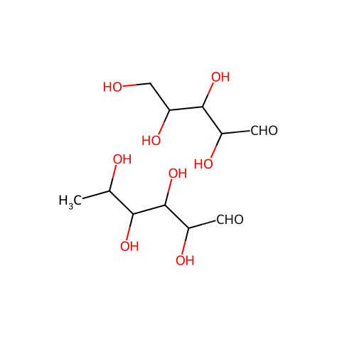 CC(O)C(O)C(O)C(O)C=O.O=CC(O)C(O)C(O)CO